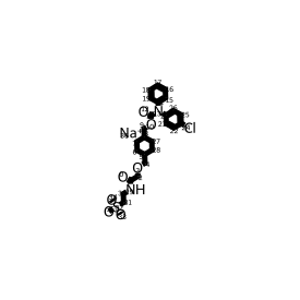 O=C(COCC1CCC(COC(=O)N(c2ccccc2)c2ccc(Cl)cc2)CC1)NCCS(=O)(=O)[O-].[Na+]